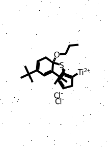 CCCOC1(SC2=[C]([Ti+2])CC=C2)CC=C(C(C)(C)C)C=C1C(C)(C)C.[Cl-].[Cl-]